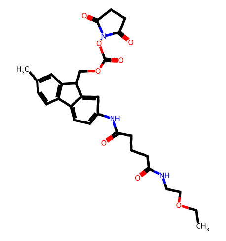 CCOCCNC(=O)CCCC(=O)Nc1ccc2c(c1)C(COC(=O)ON1C(=O)CCC1=O)c1cc(C)ccc1-2